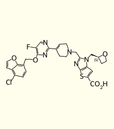 O=C(O)c1cc2c(nc(CN3CC=C(c4ncc(F)c(OCc5ccc(Cl)c6ccoc56)n4)CC3)n2C[C@@H]2CCO2)s1